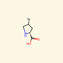 [2H]C1CN[C@H](C(=O)O)C1